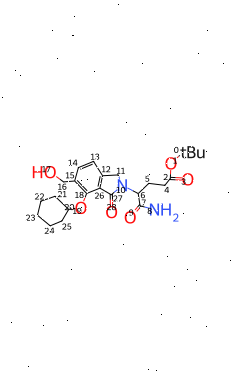 CC(C)(C)OC(=O)CCC(C(N)=O)N1Cc2ccc(CO)c(OC3CCCCC3)c2C1=O